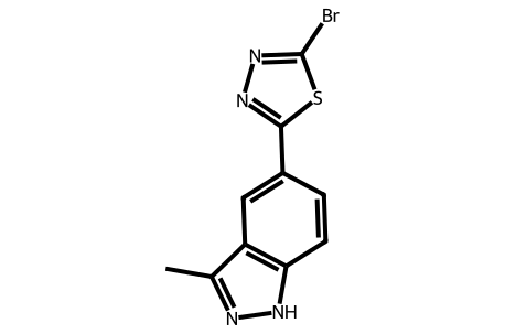 Cc1n[nH]c2ccc(-c3nnc(Br)s3)cc12